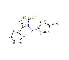 COc1ccc(Cn2c(-c3ccccc3)csc2=S)cc1